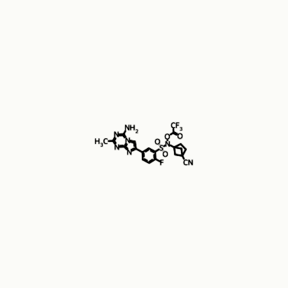 Cc1nc(N)n2cc(-c3ccc(F)c(S(=O)(=O)N(OC(=O)C(F)(F)F)C45CCC(C#N)(C4)C5)c3)nc2n1